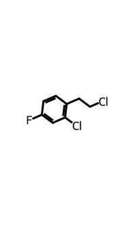 Fc1ccc(CCCl)c(Cl)c1